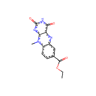 CCOC(=O)c1ccc2c(c1)nc1c(=O)[nH]c(=O)nc-1n2C